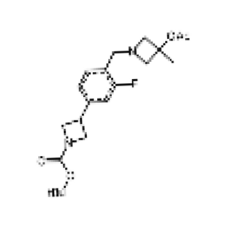 CC(=O)OC1(C)CN(Cc2ccc(C3CN(C(=O)OC(C)(C)C)C3)cc2F)C1